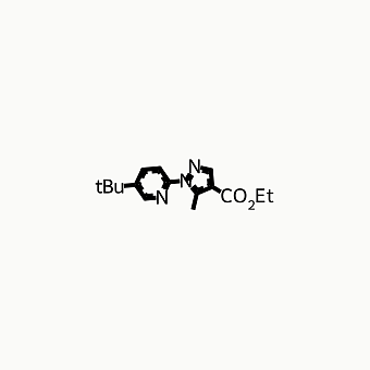 CCOC(=O)c1cnn(-c2ccc(C(C)(C)C)cn2)c1C